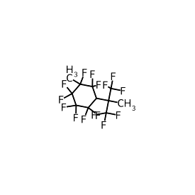 CC1(F)C(F)(F)C(C(C)(C(F)(F)F)C(F)(F)F)C(F)(F)C(F)(F)C1(F)F